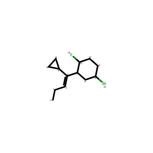 CCC=C(C1CC1)C1CC(Br)CCC1F